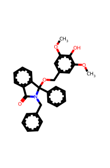 COc1cc(COC2(c3ccccc3)c3ccccc3C(=O)N2Cc2ccccc2)cc(OC)c1O